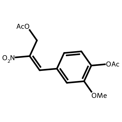 COc1cc(C=C(COC(C)=O)[N+](=O)[O-])ccc1OC(C)=O